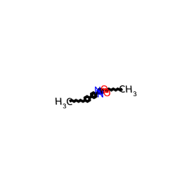 CCCCCCCC(=O)Oc1cnc(-c2ccc(C3CCC(CCCCCCC)CC3)cc2)nc1